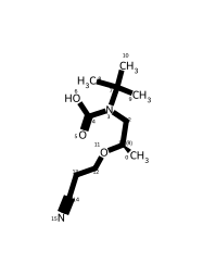 C[C@H](CN(C(=O)O)C(C)(C)C)OCCC#N